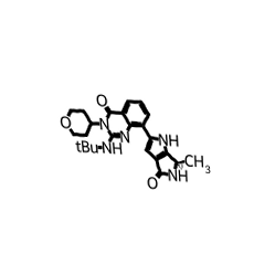 C[C@H]1NC(=O)c2cc(-c3cccc4c(=O)n(C5CCOCC5)c(NC(C)(C)C)nc34)[nH]c21